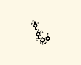 COc1nc(C(=O)N2CC[C@]3(c4cccc(F)c4)OCO[C@@H]3C2)ccc1OCC1C[C@@H]2[C@H](C1)C2(F)F